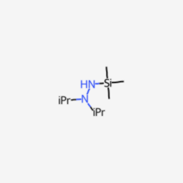 CC(C)N(N[Si](C)(C)C)C(C)C